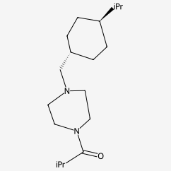 CC(C)C(=O)N1CCN(C[C@H]2CC[C@H](C(C)C)CC2)CC1